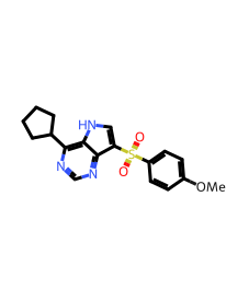 COc1ccc(S(=O)(=O)c2c[nH]c3c(C4CCCC4)ncnc23)cc1